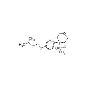 CC(C)CCOc1ccc(C2(S(C)(=O)=O)CCOCC2)cc1